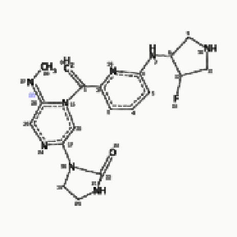 C=C(c1cccc(NC2CNCC2F)n1)n1cc(N2CCNC2=O)nc/c1=N/C